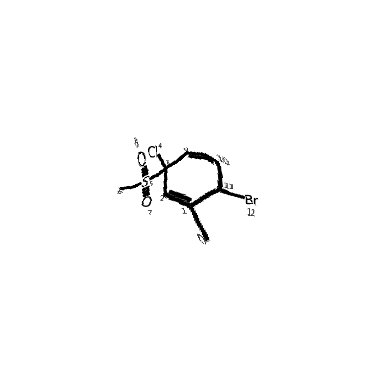 CC1=CC(Cl)(S(C)(=O)=O)C=CC1Br